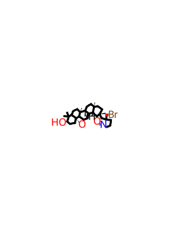 CN1CCCC1(CBr)C(=O)[C@@]1(C)CC[C@]2(C)CC[C@]3(C)C(=CC(=O)C4[C@@]5(C)CC[C@H](O)C(C)(C)C5CC[C@]43C)[C@H]2C1